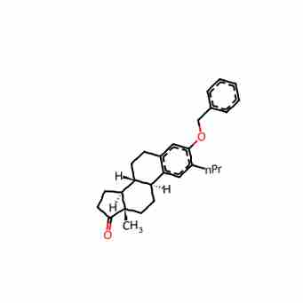 CCCc1cc2c(cc1OCc1ccccc1)CC[C@@H]1[C@@H]2CC[C@]2(C)C(=O)CC[C@@H]12